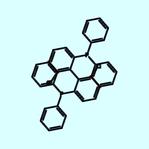 Clc1cccc(P(c2ccccc2)c2ccccc2)c1-c1c(Cl)cccc1P(c1ccccc1)c1ccccc1